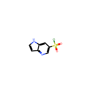 O=S(=O)(Cl)c1cnc2cc[nH]c2c1